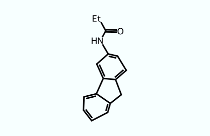 CCC(=O)Nc1ccc2c(c1)-c1ccccc1C2